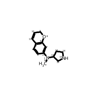 CN(c1ccc2c(c1)OCC=C2)C1CCNC1